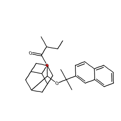 CCC(C)C(=O)OC1C2CC3CC1CC(C2)C3OC(C)(C)c1ccc2ccccc2c1